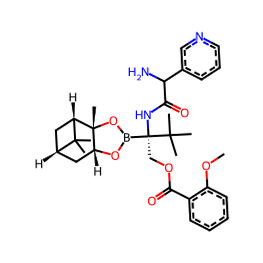 COc1ccccc1C(=O)OC[C@@](NC(=O)C(N)c1cccnc1)(B1O[C@@H]2C[C@@H]3C[C@@H](C3(C)C)[C@]2(C)O1)C(C)(C)C